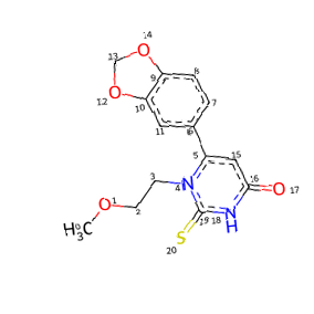 COCCn1c(-c2ccc3c(c2)OCO3)cc(=O)[nH]c1=S